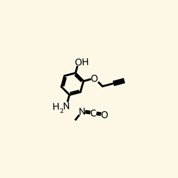 C#CCOc1cc(N)ccc1O.CN=C=O